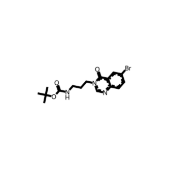 CC(C)(C)OC(=O)NCCCn1cnc2ccc(Br)cc2c1=O